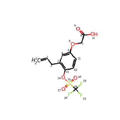 C=CCc1cc(OCC(=O)O)ccc1OS(=O)(=O)C(F)(F)F